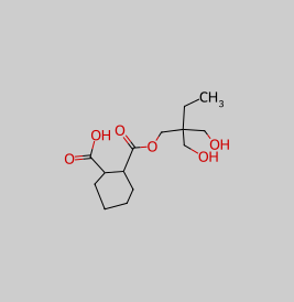 CCC(CO)(CO)COC(=O)C1CCCCC1C(=O)O